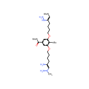 CCCCc1c(OCCCC/C(N)=C/N(C)N)cc(C(=O)NC)cc1OCCCC/C(=C/NC)NN